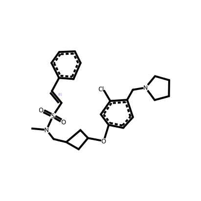 CN(CC1CC(Oc2ccc(CN3CCCC3)c(Cl)c2)C1)S(=O)(=O)/C=C/c1ccccc1